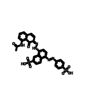 CC(=O)Nc1cccc2c1C(=O)C(=NNc1ccc(N=Nc3ccc(S(=O)(=O)O)cc3)c3ccc(S(=O)(=O)O)cc13)C=C2